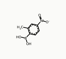 Cc1cc([N+](=O)[O-])ccc1B(O)O